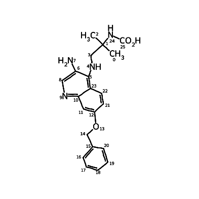 CC(C)(CNc1c(N)cnc2cc(OCc3ccccc3)ccc12)NC(=O)O